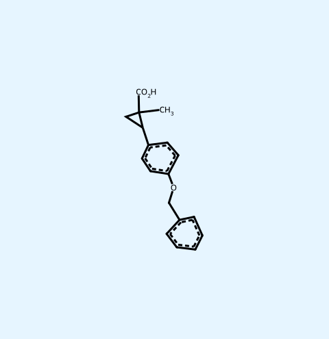 CC1(C(=O)O)CC1c1ccc(OCc2ccccc2)cc1